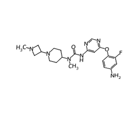 CN1CC(N2CCC(N(C)C(=O)Nc3cc(Oc4ccc(N)cc4F)ncn3)CC2)C1